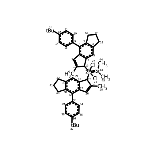 CC1=Cc2c(cc3c(c2-c2ccc(C(C)(C)C)cc2)CCC3)[CH]1[Zr]([Cl])([Cl])([CH]1C(C)=Cc2c1cc1c(c2-c2ccc(C(C)(C)C)cc2)CCC1)=[Si](C)C